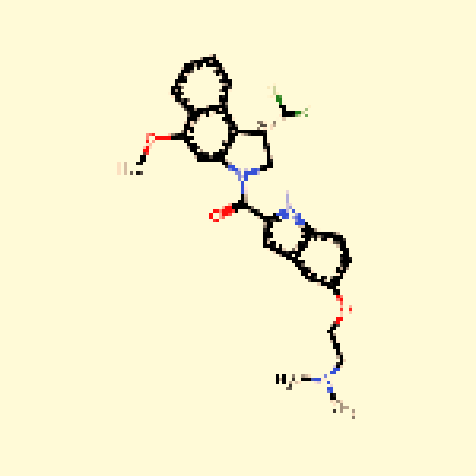 COc1cc2c(c3ccccc13)[C@H](C(Cl)Cl)CN2C(=O)c1cc2cc(OCCN(C)C)ccc2[nH]1